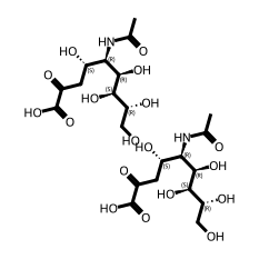 CC(=O)N[C@@H]([C@@H](O)[C@H](O)[C@H](O)CO)[C@@H](O)CC(=O)C(=O)O.CC(=O)N[C@@H]([C@@H](O)[C@H](O)[C@H](O)CO)[C@@H](O)CC(=O)C(=O)O